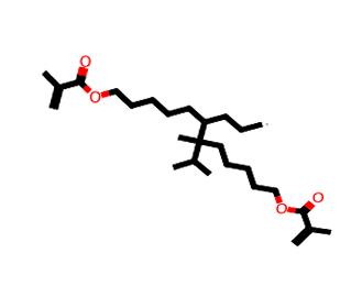 [CH2]CCC(CCCCCOC(=O)C(=C)C)C(C)(CCCCCOC(=O)C(=C)C)[C](C)C